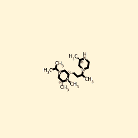 CC(C)N1C[C@H](CCC(C)N2CCN[C@H](C)C2)N(C)[C@H](C)C1